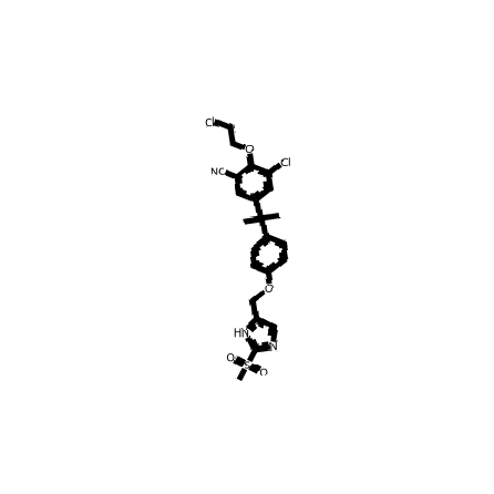 CC(C)(c1ccc(OCc2cnc(S(C)(=O)=O)[nH]2)cc1)c1cc(Cl)c(OCCCl)c(C#N)c1